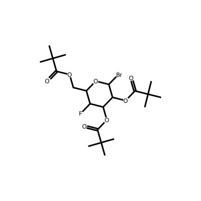 CC(C)(C)C(=O)OCC1OC(Br)C(OC(=O)C(C)(C)C)C(OC(=O)C(C)(C)C)C1F